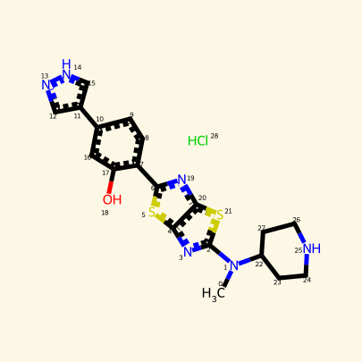 CN(c1nc2sc(-c3ccc(-c4cn[nH]c4)cc3O)nc2s1)C1CCNCC1.Cl